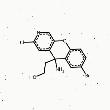 NC1(CCO)c2cc(Br)ccc2Oc2cnc(Cl)cc21